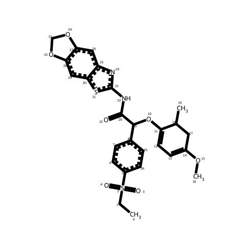 CCS(=O)(=O)c1ccc(C(OC2=CC=C(OC)CC2C)C(=O)Nc2nc3cc4c(cc3s2)OCO4)cc1